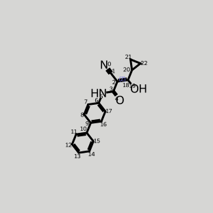 N#C/C(C(=O)Nc1ccc(-c2ccccc2)cc1)=C(/O)C1CC1